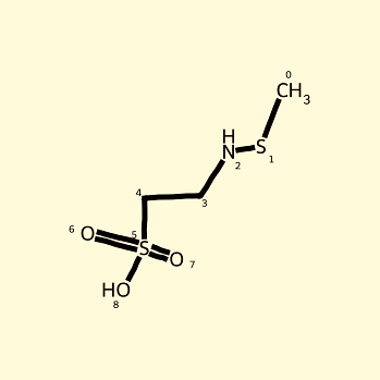 CSNCCS(=O)(=O)O